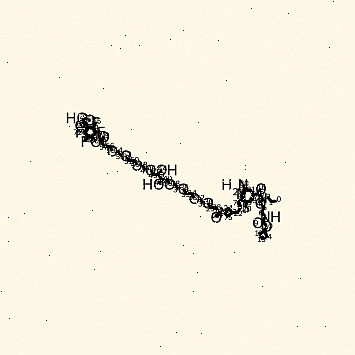 CCCN(OCCNC(=O)OC1CCC1)C(=O)C1=Cc2sc(CC3CN(C(=O)CCOCCOCCOCCOCC(O)C(O)COCCOCCOCCOCCC(=O)Oc4c(F)c(F)c(S(=O)(=O)O)c(F)c4F)C3)cc2N=C(N)C1